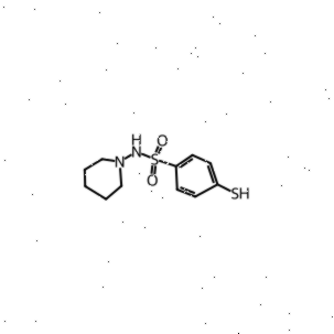 O=S(=O)(NN1CCCCC1)c1ccc(S)cc1